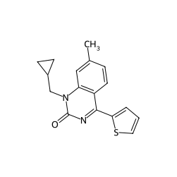 Cc1ccc2c(-c3cccs3)nc(=O)n(CC3CC3)c2c1